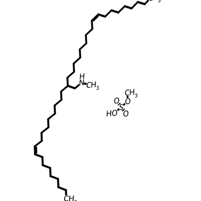 CCCCCCCC/C=C\CCCCCCCCC(CCCCCCCC/C=C\CCCCCCCC)CNC.COS(=O)(=O)O